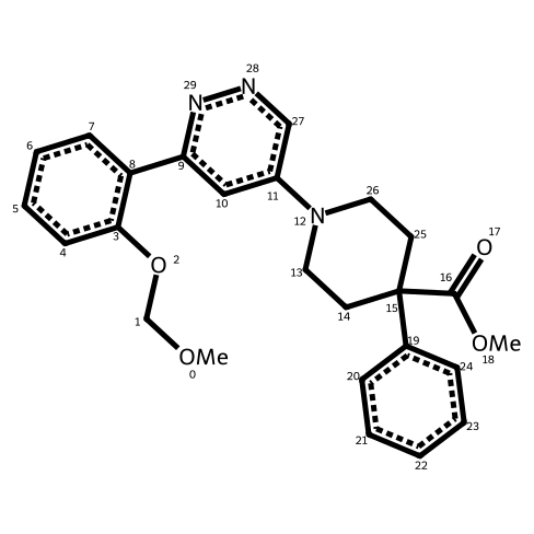 COCOc1ccccc1-c1cc(N2CCC(C(=O)OC)(c3ccccc3)CC2)cnn1